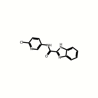 O=C(Nc1ccc(Cl)nc1)c1nc2ccccc2[nH]1